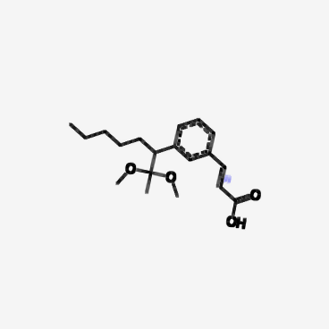 CCCCCC(c1cccc(/C=C/C(=O)O)c1)C(C)(OC)OC